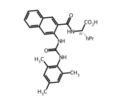 CCC[C@H](NC(=O)c1cc2ccccc2cc1NC(=O)Nc1c(C)cc(C)cc1C)C(=O)O